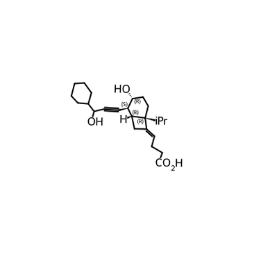 CC(C)[C@]12CC[C@@H](O)[C@H](C#CC(O)C3CCCCC3)[C@H]1CC2=CCCC(=O)O